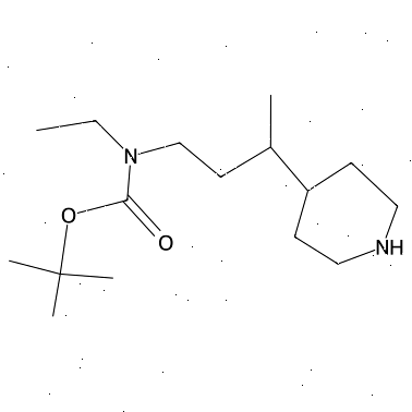 CCN(CCC(C)C1CCNCC1)C(=O)OC(C)(C)C